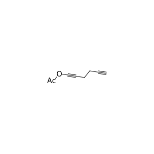 C#CCCC#COC(C)=O